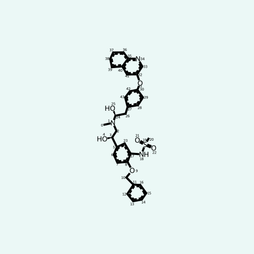 CN(C[C@H](O)c1ccc(OCc2ccccc2)c(NS(C)(=O)=O)c1)[C@@H](O)Cc1ccc(Oc2cnc3ccccc3c2)cc1